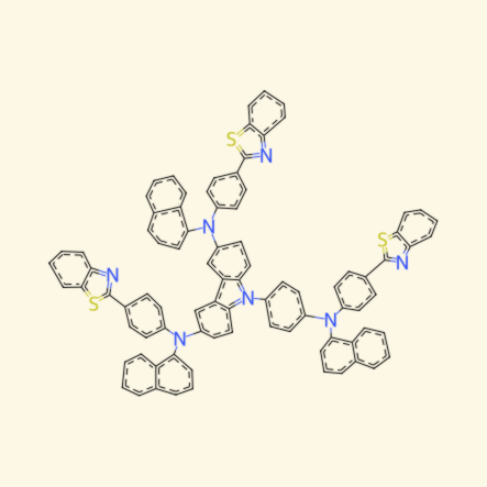 c1ccc2c(N(c3ccc(-c4nc5ccccc5s4)cc3)c3ccc(-n4c5ccc(N(c6ccc(-c7nc8ccccc8s7)cc6)c6cccc7ccccc67)cc5c5cc(N(c6ccc(-c7nc8ccccc8s7)cc6)c6cccc7ccccc67)ccc54)cc3)cccc2c1